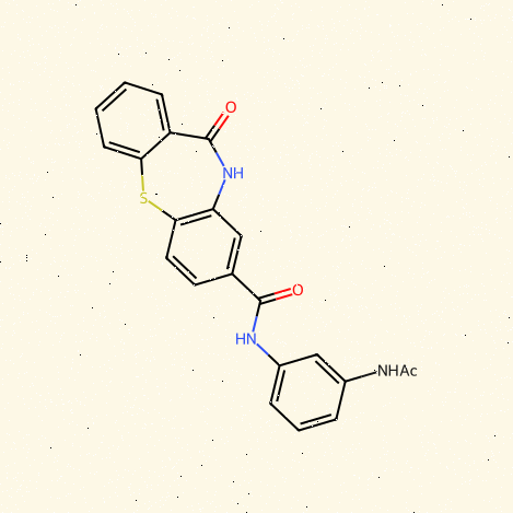 CC(=O)Nc1cccc(NC(=O)c2ccc3c(c2)NC(=O)c2ccccc2S3)c1